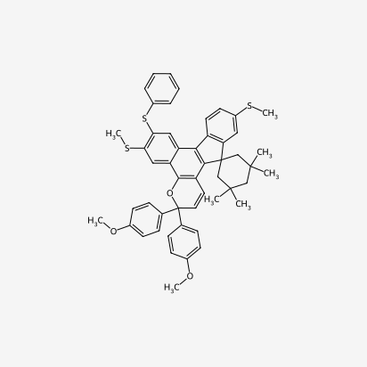 COc1ccc(C2(c3ccc(OC)cc3)C=Cc3c4c(c5cc(Sc6ccccc6)c(SC)cc5c3O2)-c2ccc(SC)cc2C42CC(C)(C)CC(C)(C)C2)cc1